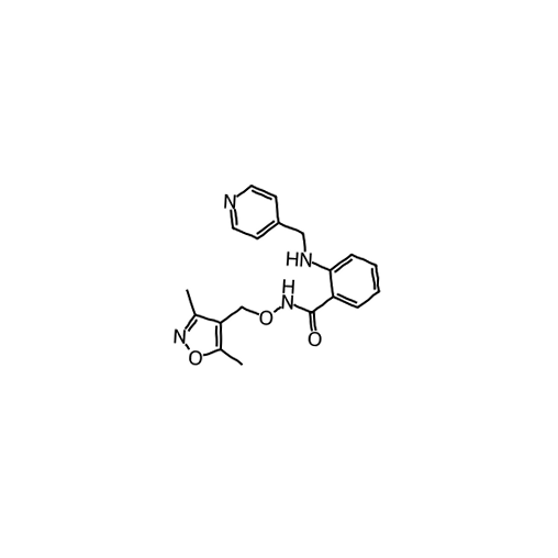 Cc1noc(C)c1CONC(=O)c1ccccc1NCc1ccncc1